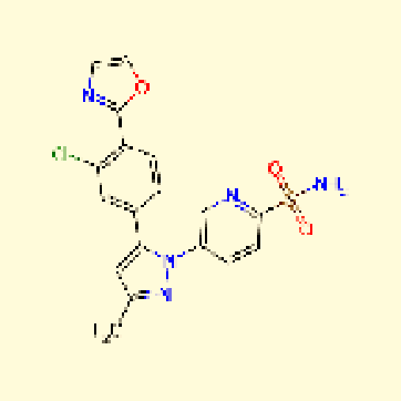 NS(=O)(=O)c1ccc(-n2nc(C(F)(F)F)cc2-c2ccc(-c3ncco3)c(Cl)c2)cn1